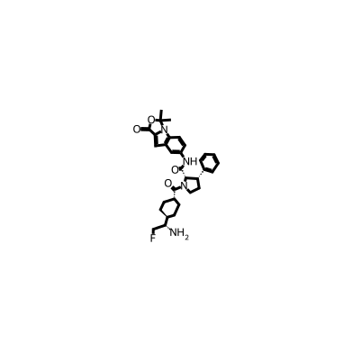 CC1(C)OC(=O)c2cc3cc(NC(=O)[C@@H]4[C@H](c5ccccc5)CCN4C(=O)[C@H]4CC[C@H]([C@H](N)CF)CC4)ccc3n21